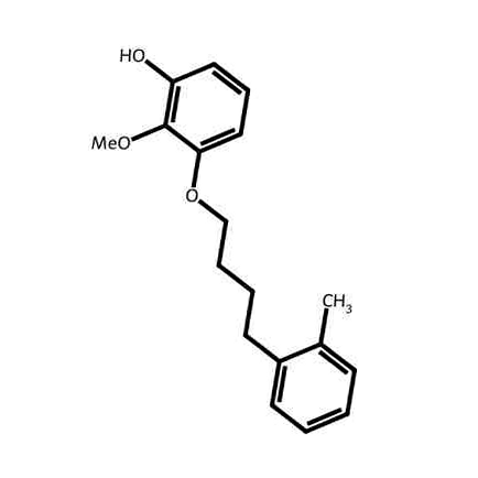 COc1c(O)cccc1OCCCCc1ccccc1C